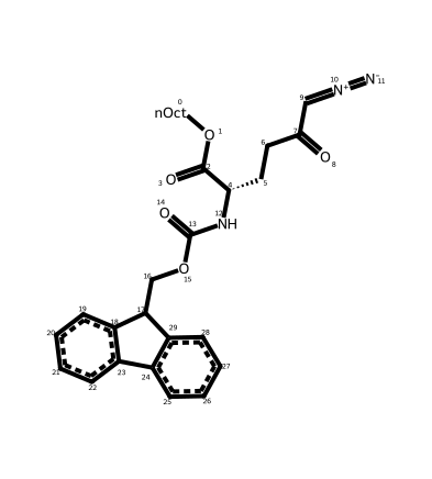 CCCCCCCCOC(=O)[C@H](CCC(=O)C=[N+]=[N-])NC(=O)OCC1c2ccccc2-c2ccccc21